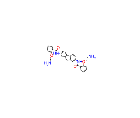 NCCOc1ccccc1C(=O)Nc1ccc2c(c1)Cc1cc(NC(=O)c3ccccc3OCCN)ccc1-2